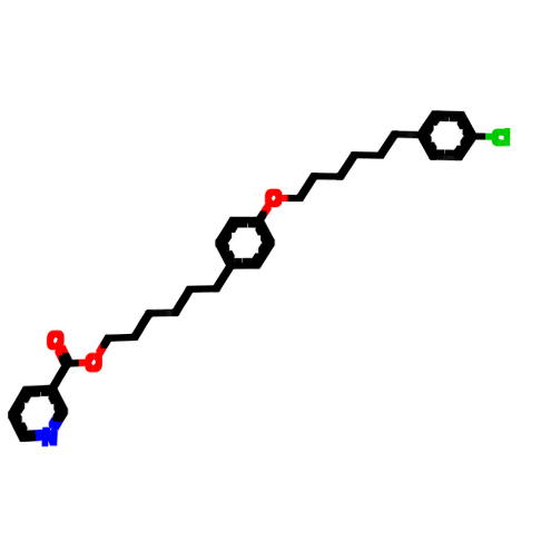 O=C(OCCCCCCc1ccc(OCCCCCCc2ccc(Cl)cc2)cc1)c1cccnc1